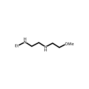 CCNCCNCCOC